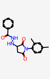 Cc1ccc(N2C(=O)CC(NNC(=O)c3ccccc3)C2=O)c(C)c1